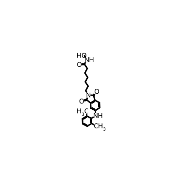 Cc1cccc(C)c1Nc1ccc2c(c1)C(=O)N(CCCCCCC(=O)NO)C2=O